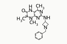 Cc1nc(NC2CN(Cc3ccccc3)C2)nc2c1NC(=O)[C@H](C)N2C